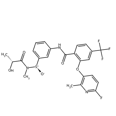 Cc1nc(F)ccc1Oc1cc(C(F)(F)F)ccc1C(=O)Nc1cccc([S@@+]([O-])N(C)C(=O)[C@@H](C)O)c1